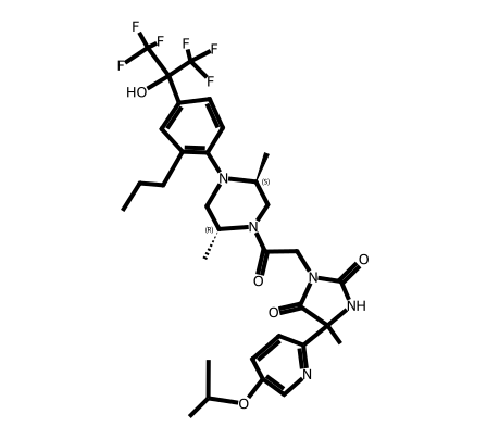 CCCc1cc(C(O)(C(F)(F)F)C(F)(F)F)ccc1N1C[C@@H](C)N(C(=O)CN2C(=O)NC(C)(c3ccc(OC(C)C)cn3)C2=O)C[C@@H]1C